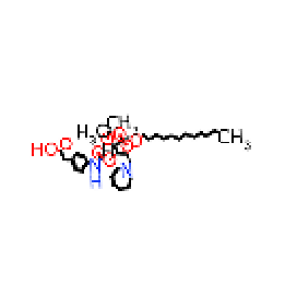 CCCCCCCCCCCCOC[C@@]12O[C@@H](CN3CCCCCC3)[C@@H](OC(=O)Nc3ccc(CC(=O)O)cc3)[C@@H]1OC(C)(C)O2